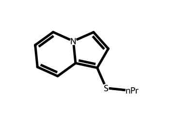 CCCSc1ccn2ccccc12